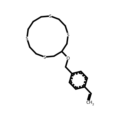 C=Cc1ccc(COC2CSCCSCCCSCCSC2)cc1